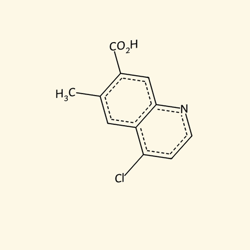 Cc1cc2c(Cl)ccnc2cc1C(=O)O